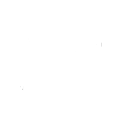 CCOc1ccc(C#N)c([CH]O)c1